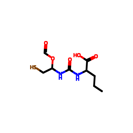 CCCC(NC(=O)NC(CS)OC=O)C(=O)O